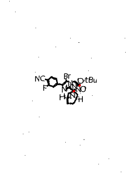 CC(C)(C)OC(=O)N[C@H]1C[C@H]2CC[C@@H](C1)N2c1nccn2c(Br)c(-c3ccc(C#N)c(F)c3)nc12